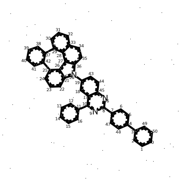 c1ccc(-c2ccc(-c3nc(-c4ccccc4)c4cc(-n5c6cccc7c6c6c8c(cccc8ccc65)-c5ccccc5-7)ccc4n3)cc2)cc1